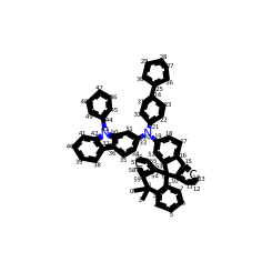 CC1(C)c2ccccc2C2(c3ccccc3-c3ccc(N(c4ccc(-c5ccccc5)cc4)c4ccc5c6ccccc6n(-c6ccccc6)c5c4)cc32)c2ccccc21